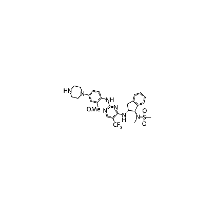 COc1cc(N2CCNCC2)ccc1Nc1ncc(C(F)(F)F)c(N[C@@H]2Cc3ccccc3[C@H]2N(C)S(C)(=O)=O)n1